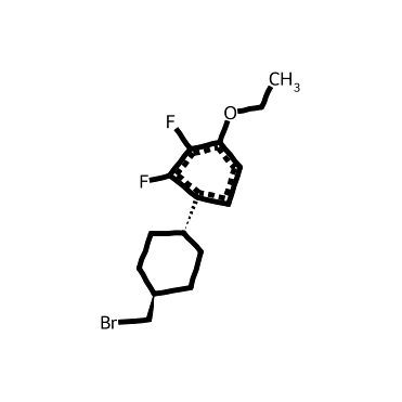 CCOc1ccc([C@H]2CC[C@H](CBr)CC2)c(F)c1F